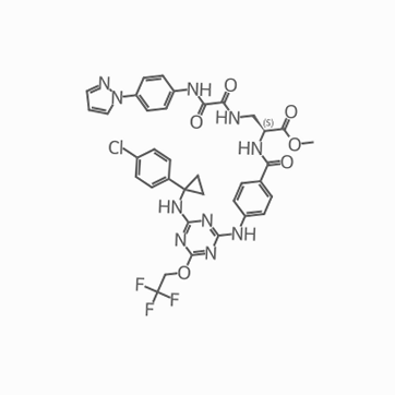 COC(=O)[C@H](CNC(=O)C(=O)Nc1ccc(-n2cccn2)cc1)NC(=O)c1ccc(Nc2nc(NC3(c4ccc(Cl)cc4)CC3)nc(OCC(F)(F)F)n2)cc1